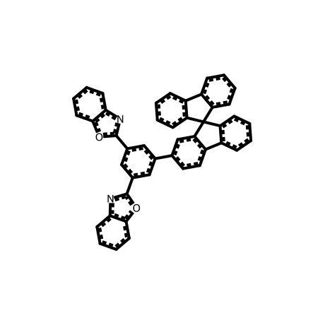 c1ccc2c(c1)-c1ccccc1C21c2ccccc2-c2ccc(-c3cc(-c4nc5ccccc5o4)cc(-c4nc5ccccc5o4)c3)cc21